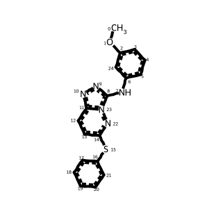 COc1cccc(Nc2nnc3ccc(Sc4ccccc4)nn23)c1